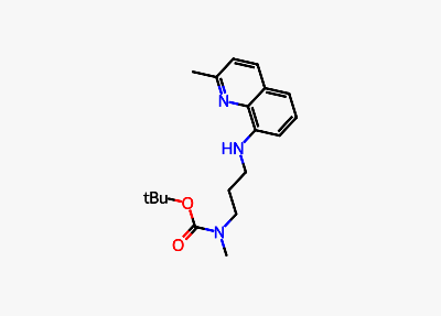 Cc1ccc2cccc(NCCCN(C)C(=O)OC(C)(C)C)c2n1